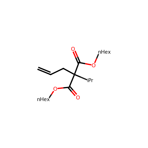 C=CCC(C(=O)OCCCCCC)(C(=O)OCCCCCC)C(C)C